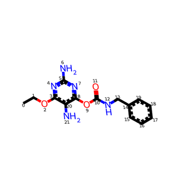 CCOc1nc(N)nc(OC(=O)NCc2ccccc2)c1N